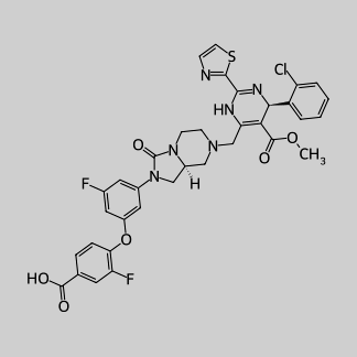 COC(=O)C1=C(CN2CCN3C(=O)N(c4cc(F)cc(Oc5ccc(C(=O)O)cc5F)c4)C[C@@H]3C2)NC(c2nccs2)=N[C@H]1c1ccccc1Cl